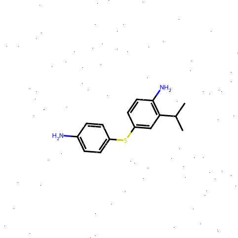 CC(C)c1cc(Sc2ccc(N)cc2)ccc1N